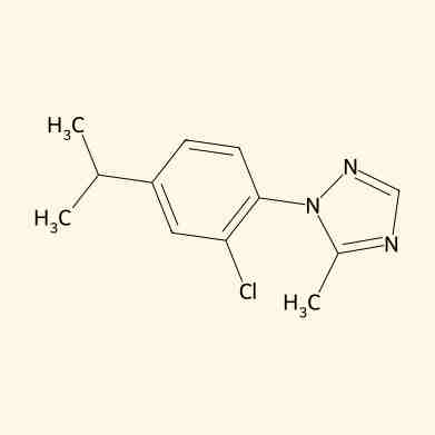 Cc1ncnn1-c1ccc(C(C)C)cc1Cl